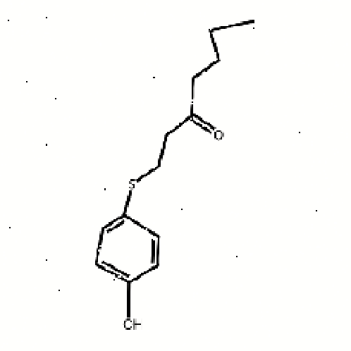 CCCCC(=O)CCSc1ccc(O)cc1